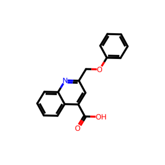 O=C(O)c1cc(COc2ccccc2)nc2ccccc12